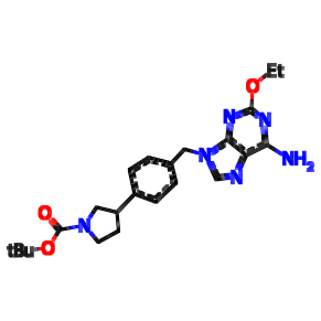 CCOc1nc(N)c2ncn(Cc3ccc(C4CCN(C(=O)OC(C)(C)C)C4)cc3)c2n1